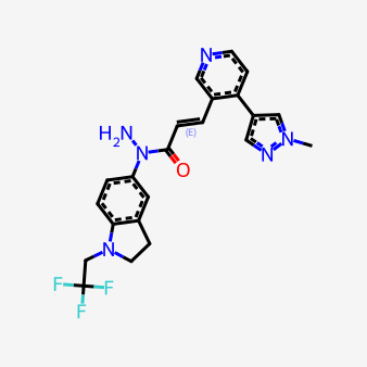 Cn1cc(-c2ccncc2/C=C/C(=O)N(N)c2ccc3c(c2)CCN3CC(F)(F)F)cn1